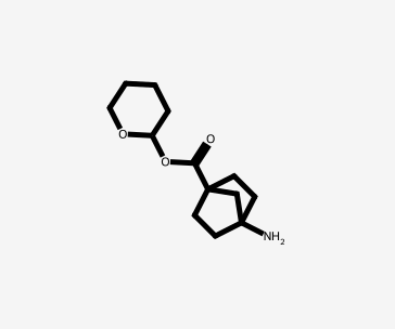 NC12CCC(C(=O)OC3CCCCO3)(CC1)C2